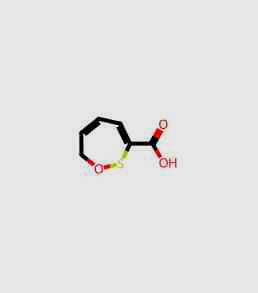 O=C(O)C1=CC=CCOS1